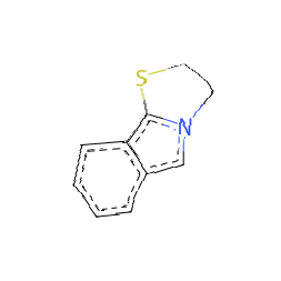 c1ccc2c3n(cc2c1)CCS3